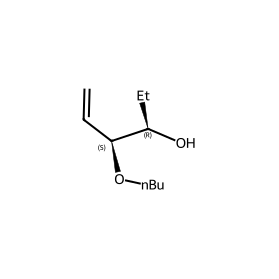 C=C[C@H](OCCCC)[C@H](O)CC